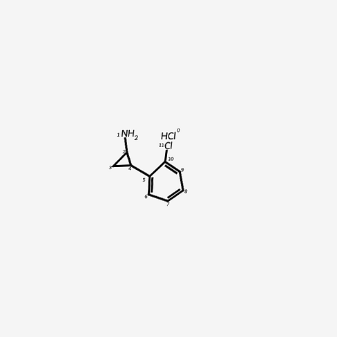 Cl.NC1CC1c1ccccc1Cl